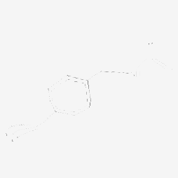 N#Cc1ccc(CN[SH](=O)=O)cc1